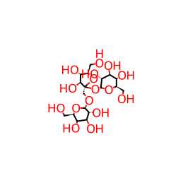 OC[C@H]1O[C@@H](OC[C@@]2(O[C@H]3O[C@H](CO)[C@@H](O)[C@H](O)[C@H]3O)O[C@H](CO)[C@@H](O)[C@@H]2O)[C@H](O)[C@@H](O)[C@H]1O